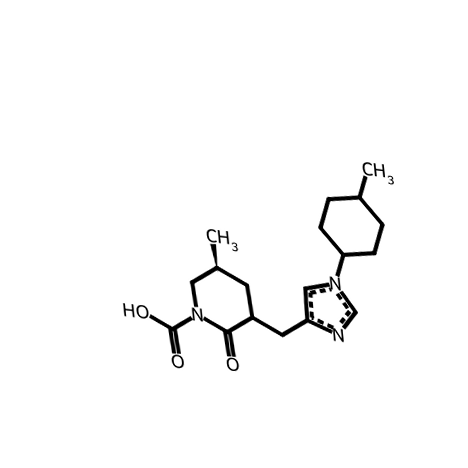 CC1CCC(n2cnc(CC3C[C@H](C)CN(C(=O)O)C3=O)c2)CC1